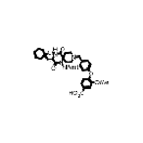 CCCCCN1C(=O)[C@@H](CC2(O)CCCCC2)NC(=O)C12CCN(Cc1ccc(Oc3ccc(C(=O)O)cc3OC)cc1)CC2